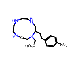 O=C(O)CN1CCNCCNCCNCC1CCc1ccc([N+](=O)[O-])cc1